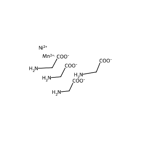 NCC(=O)[O-].NCC(=O)[O-].NCC(=O)[O-].NCC(=O)[O-].[Mn+2].[Ni+2]